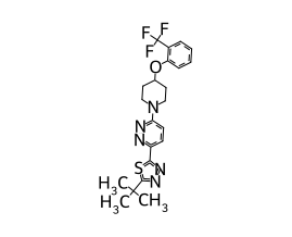 CC(C)(C)c1nnc(-c2ccc(N3CCC(Oc4ccccc4C(F)(F)F)CC3)nn2)s1